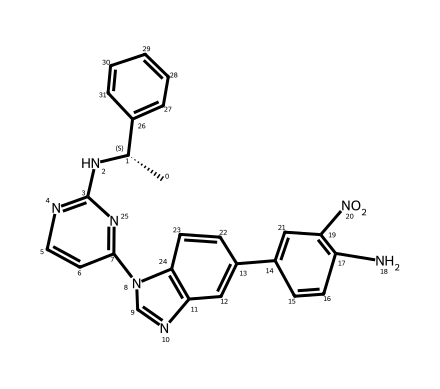 C[C@H](Nc1nccc(-n2cnc3cc(-c4ccc(N)c([N+](=O)[O-])c4)ccc32)n1)c1ccccc1